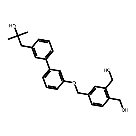 CC(C)(O)Cc1cccc(-c2cccc(OCc3ccc(CO)c(CO)c3)c2)c1